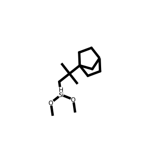 CO[SiH](CC(C)(C)C12CCC(CC1)C2)OC